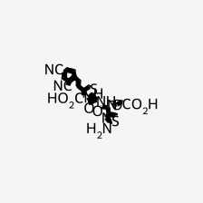 N#Cc1ccc(C=CC2=C(C(=O)O)N3C(=O)C(NC(=O)C(=NOCC(=O)O)c4csc(N)n4)[C@@H]3SC2)c(C#N)c1